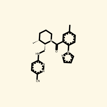 Cc1ccc(-n2cccn2)c(C(=O)N2CCC[C@@H](C)[C@H]2CNc2ccc(C#N)nn2)c1